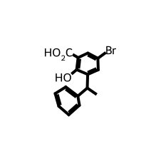 CC(c1ccccc1)c1cc(Br)cc(C(=O)O)c1O